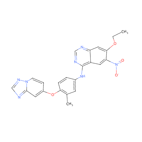 CCOc1cc2ncnc(Nc3ccc(Oc4ccn5ncnc5c4)c(C)c3)c2cc1[N+](=O)[O-]